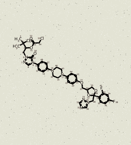 CC(C)(C)C(Cn1ncn(-c2ccc(N3CCN(c4ccc(OCC5COC(Cn6cncn6)(c6ccc(F)cc6F)O5)cc4)CC3)cc2)c1=O)OC(=O)CCl